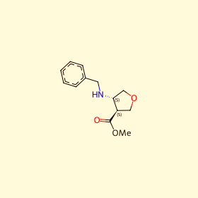 COC(=O)[C@@H]1COC[C@H]1NCc1ccccc1